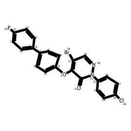 O=c1c(Oc2ccc(-c3ccc(F)cc3)cc2)c(Br)cnn1-c1ccc(Cl)cc1